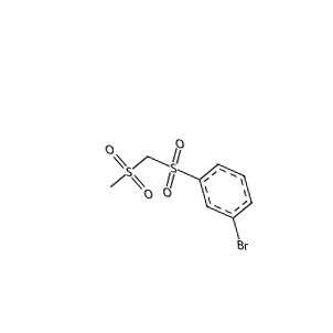 CS(=O)(=O)CS(=O)(=O)c1cccc(Br)c1